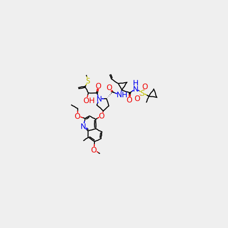 C=CC1C[C@]1(NC(=O)[C@@H]1C[C@@H](Oc2cc(OCC)nc3c(C)c(OC)ccc23)CN1C(=O)C(O)C(=C)SC)C(=O)NS(=O)(=O)C1(C)CC1